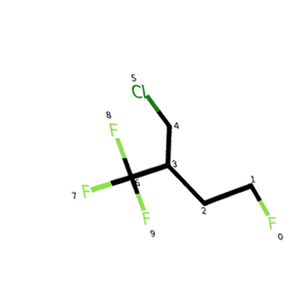 FCCC(CCl)C(F)(F)F